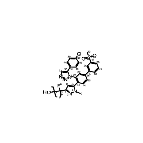 Cn1nc(C(F)(F)C(C)(C)O)cc1-c1ccc(-c2cccc(S(C)(=O)=O)c2)cc1-n1nncc1-c1ccc(Cl)cc1